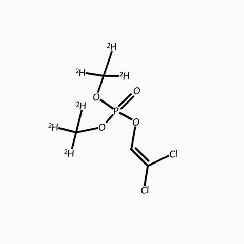 [2H]C([2H])([2H])OP(=O)(OC=C(Cl)Cl)OC([2H])([2H])[2H]